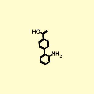 C=C(O)c1ccc(-c2ccccc2N)cc1